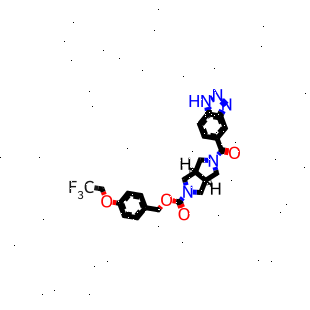 O=C(OCc1ccc(OCC(F)(F)F)cc1)N1C[C@@H]2CN(C(=O)c3ccc4[nH]nnc4c3)C[C@H]2C1